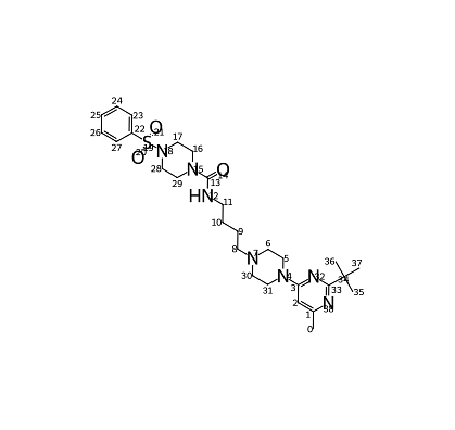 Cc1cc(N2CCN(CCCCNC(=O)N3CCN(S(=O)(=O)c4ccccc4)CC3)CC2)nc(C(C)(C)C)n1